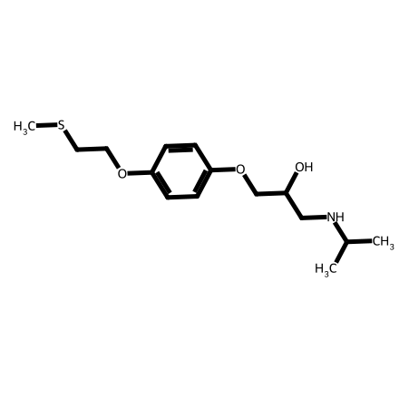 CSCCOc1ccc(OCC(O)CNC(C)C)cc1